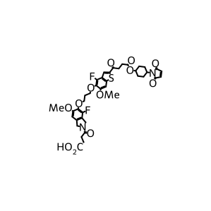 COc1cc2c(c(F)c1OCCCOc1c(OC)cc3sc(C(=O)CCC(=O)OC4CCC(N5C(=O)C=CC5=O)CC4)cc3c1F)CN(C(=O)CCC(=O)O)C2